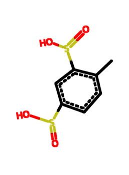 Cc1ccc(S(=O)O)cc1S(=O)O